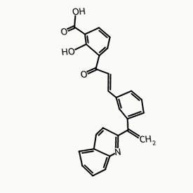 C=C(c1cccc(C=CC(=O)c2cccc(C(=O)O)c2O)c1)c1ccc2ccccc2n1